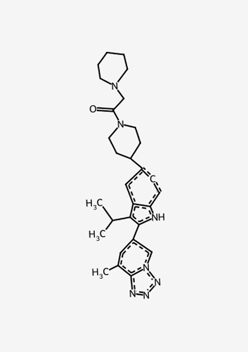 Cc1cc(-c2[nH]c3ccc(C4CCN(C(=O)CN5CCCCC5)CC4)cc3c2C(C)C)cn2nnnc12